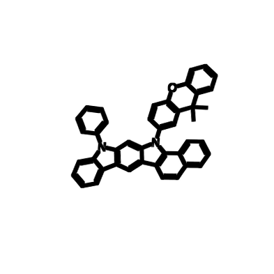 CC1(C)c2ccccc2Oc2ccc(-n3c4cc5c(cc4c4ccc6ccccc6c43)c3ccccc3n5-c3ccccc3)cc21